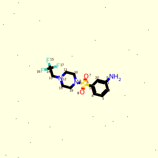 Nc1cccc(S(=O)(=O)N2CCN(CC(F)(F)F)CC2)c1